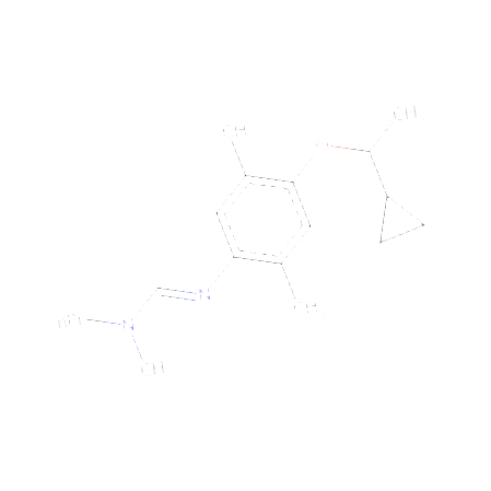 CCCN(C)C=Nc1cc(C)c(OC(C)C2CC2)cc1C